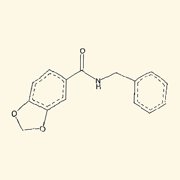 O=C(NCc1ccccc1)c1ccc2c(c1)OCO2